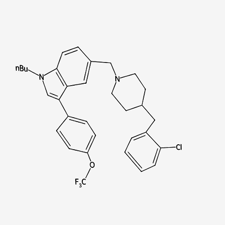 CCCCn1cc(-c2ccc(OC(F)(F)F)cc2)c2cc(CN3CCC(Cc4ccccc4Cl)CC3)ccc21